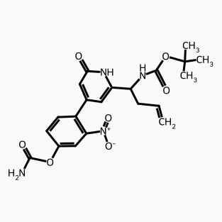 C=CCC(NC(=O)OC(C)(C)C)c1cc(-c2ccc(OC(N)=O)cc2[N+](=O)[O-])cc(=O)[nH]1